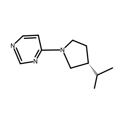 CC(C)[C@H]1CCN(c2ccncn2)C1